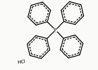 Cl.c1ccc([P](c2ccccc2)(c2ccccc2)c2ccccc2)cc1